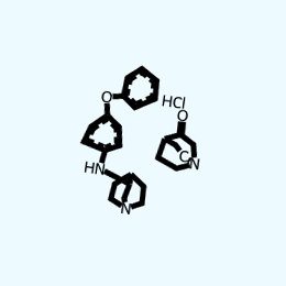 Cl.O=C1CN2CCC1CC2.c1ccc(Oc2ccc(NC3CN4CCC3CC4)cc2)cc1